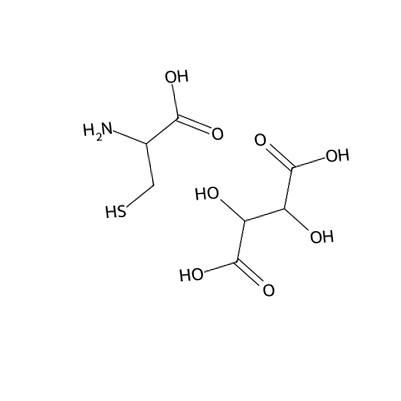 NC(CS)C(=O)O.O=C(O)C(O)C(O)C(=O)O